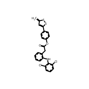 C=C1C=C(c2ccc(OC(=O)Cc3ccccc3Nc3c(Cl)cccc3Cl)cc2)SS1